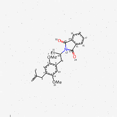 C=C(C)Cc1cc(OC)c(CC(CC)N2C(=O)c3ccccc3C2=O)cc1OC